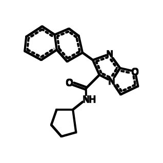 O=C(NC1CCCC1)c1c(-c2ccc3ccccc3c2)nc2occn12